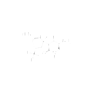 CC1C(N)=CN(C)C(=O)C1[C@]1(C)C[C@@H](C(F)(F)F)OC(N)=N1